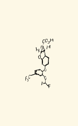 O=C(O)[C@H]1[C@@H]2OC3=CC(Oc4ccc(C(F)(F)F)cc4OC(F)F)=CCC3[C@@H]21